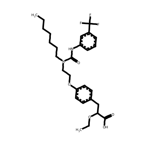 CCCCCCCN(CCOc1ccc(CC(OCC)C(=O)O)cc1)C(=O)Nc1cccc(C(F)(F)F)c1